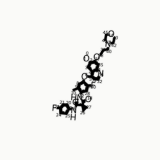 COc1cc2c(Oc3cc(C)c(NC(=O)C4(C(=O)Nc5ccc(F)cc5)CC4)cc3F)ccnc2cc1OCCCN1CCOCC1